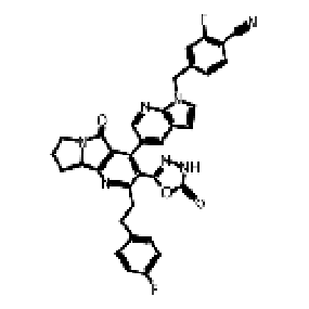 N#Cc1ccc(Cn2ccc3cc(-c4c5c(nc(CCc6ccc(F)cc6)c4-c4n[nH]c(=O)o4)C4CCCN4C5=O)cnc32)cc1F